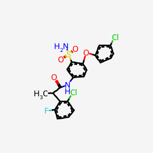 CC(C(=O)Nc1ccc(Oc2cccc(Cl)c2)c(S(N)(=O)=O)c1)c1c(F)cccc1Cl